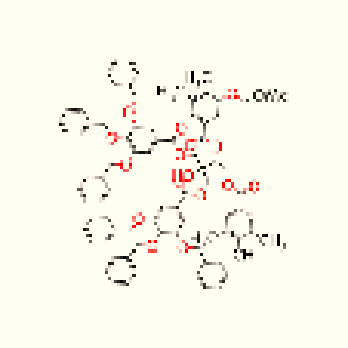 COCOc1cc(C(=O)OC(COC(=O)c2cc(C)c(C)c(C)c2)C(O)(COC(=O)c2cc(OCc3ccccc3)c(OCc3ccccc3)c(OCc3ccccc3)c2)COC(=O)c2cc(OCc3ccccc3)c(OCc3ccccc3)c(OCc3ccccc3)c2)cc(C)c1C